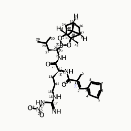 C/C(=C\c1ccccc1)C(=O)N[C@@H](CCCNC(=N)N[N+](=O)[O-])C(=O)N[C@@H](CC(C)C)B1O[C@@H]2C[C@@H]3C[C@@H](C3(C)C)[C@]2(C)O1